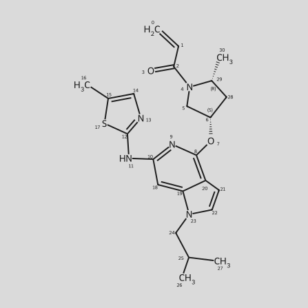 C=CC(=O)N1C[C@@H](Oc2nc(Nc3ncc(C)s3)cc3c2ccn3CC(C)C)C[C@H]1C